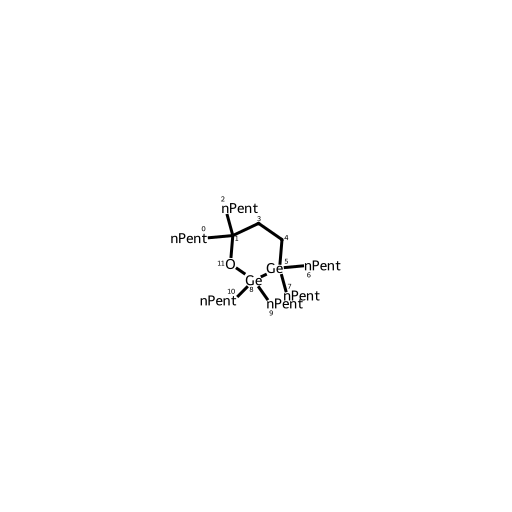 CCCCCC1(CCCCC)C[CH2][Ge]([CH2]CCCC)([CH2]CCCC)[Ge]([CH2]CCCC)([CH2]CCCC)[O]1